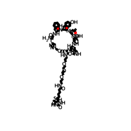 CC(C)C[C@@H]1NC(=O)[C@H](Cc2ccc(O)cc2)NC(=O)[C@H](Cc2ccccc2)NC(=O)[C@@H](N)Cc2cn(nn2)CCCC[C@@H](C(=O)NCCCOCCOCCOCCCNC(=O)CCCCC2SC[C@H]3NC(=O)N[C@@H]23)NC(=O)[C@H](Cc2c[nH]cn2)NC(=O)[C@H]([C@H](C)O)NC1=O